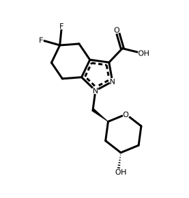 O=C(O)c1nn(C[C@@H]2C[C@@H](O)CCO2)c2c1CC(F)(F)CC2